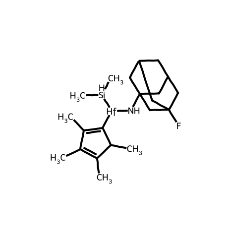 CC1=C(C)C(C)[C]([Hf]([NH]C23CC4CC(CC(F)(C4)C2)C3)[SiH](C)C)=C1C